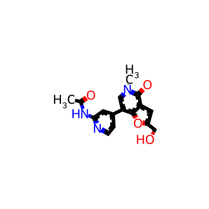 CC(=O)Nc1cc(-c2cn(C)c(=O)c3cc(CO)oc23)ccn1